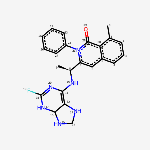 Cc1cccc2cc([C@H](C)NC3=C4NCNC4NC(F)=N3)n(-c3ccccc3)c(=O)c12